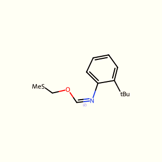 CSCO/C=N\c1ccccc1C(C)(C)C